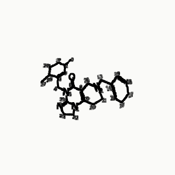 CC1C=C(CN2C(=O)C3=C(CCN(CC4=CCCC=C4)C3)N3CCN=C23)C(C)CC1